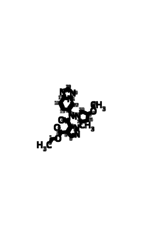 CCOC(=O)c1cnn(C)c1C(=O)N(c1ccc2ncnn2c1)N1CCC(OC)C1